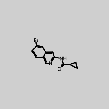 O=C(Nc1cc2cc(Br)ccc2cn1)C1CC1